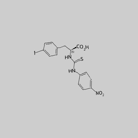 O=C(O)[C@H](Cc1ccc(I)cc1)NC(=S)Nc1ccc([N+](=O)[O-])cc1